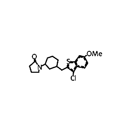 COc1ccc2c(Cl)c(CC3CCCC(N4CCCC4=O)C3)sc2c1